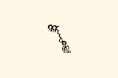 Cc1cc2cccnc2nc1CCCCCO[C@@H]1CCN(C(=O)OC(C)(C)C)C1